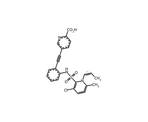 C/C=C\N1C(C)=C=CC(Cl)=C1S(=O)(=O)Nc1ccccc1C#Cc1ccc(C(=O)O)nc1